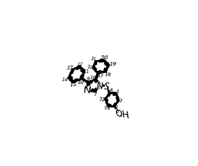 Oc1ccc(Sn2cnc(-c3ccccc3)c2-c2ccccc2)cc1